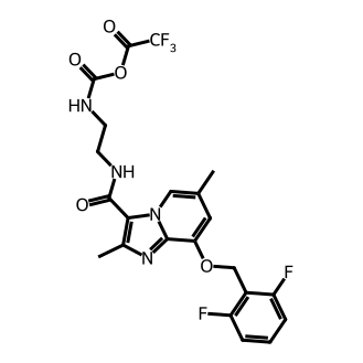 Cc1cc(OCc2c(F)cccc2F)c2nc(C)c(C(=O)NCCNC(=O)OC(=O)C(F)(F)F)n2c1